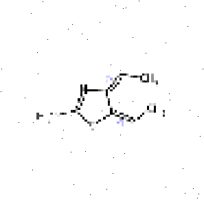 C/C=c1/nc(C)s/c1=C/C